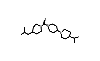 CC(C)CC1CCN(C(=O)N2CCC(N3CCC(C(C)C)CC3)CC2)CC1